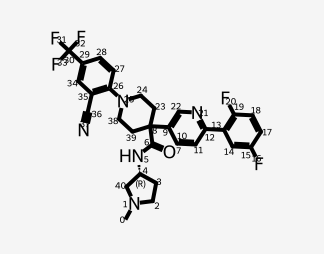 CN1CC[C@@H](NC(=O)C2(c3ccc(-c4cc(F)ccc4F)nc3)CCN(c3ccc(C(F)(F)F)cc3C#N)CC2)C1